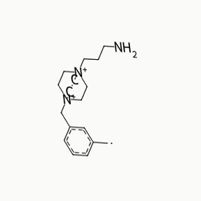 [CH2]c1cccc(C[N+]23CC[N+](CCCN)(CC2)CC3)c1